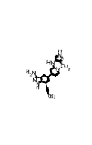 Cc1n[nH]cc1Nc1cc(-c2cc(C#CC(C)(C)C)c3[nH]nc(N)c3c2)ccn1